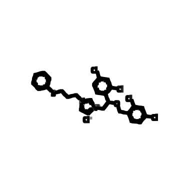 Clc1ccc(COC(C[n+]2ccn(CCCSc3ccccc3)c2)c2ccc(Cl)cc2Cl)c(Cl)c1.[Cl-]